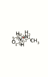 CCCCN1[C@@H]2COC[C@H]1C[C@@H](N)C2